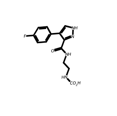 O=C(O)NCCNC(=O)c1n[nH]cc1-c1ccc(F)cc1